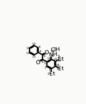 CCc1cc(C(=O)C(=O)c2ccccc2)c(N)c(CC)c1CC.Cl